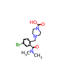 CN(C)C(=O)c1cc(Br)ccc1CN1CCN(C(=O)O)CC1